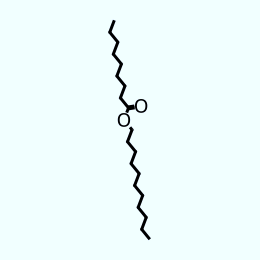 CCCCCCCCCCCOC(=O)CCCCCCCC